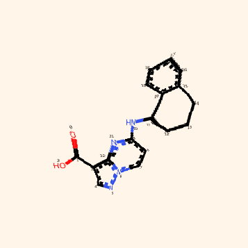 O=C(O)c1cnn2ccc(NC3CCCc4ccccc43)nc12